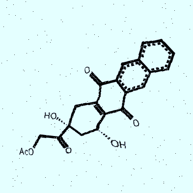 CC(=O)OCC(=O)[C@@]1(O)CC2=C(C(=O)c3cc4ccccc4cc3C2=O)[C@H](O)C1